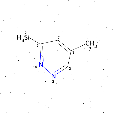 Cc1cnnc([SiH3])c1